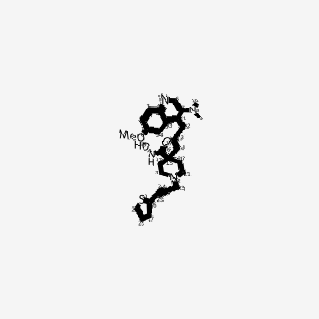 COc1ccc2ncc(N(C)C)c(CCCC3(C(=O)NO)CCN(CC#Cc4cccs4)CC3)c2c1